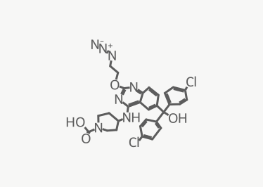 [N-]=[N+]=NCCOc1nc(NC2CCN(C(=O)O)CC2)c2cc(C(O)(c3ccc(Cl)cc3)c3ccc(Cl)cc3)ccc2n1